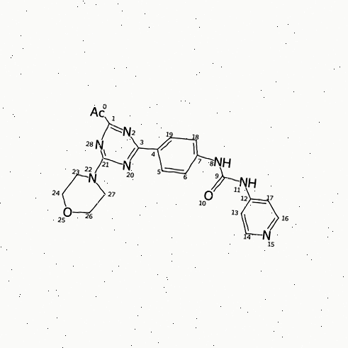 CC(=O)c1nc(-c2ccc(NC(=O)Nc3ccncc3)cc2)nc(N2CCOCC2)n1